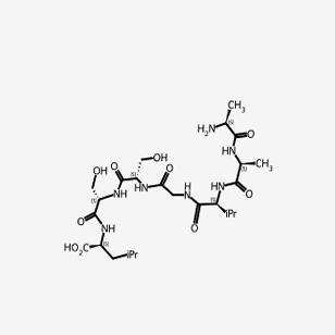 CC(C)C[C@H](NC(=O)[C@H](CO)NC(=O)[C@H](CO)NC(=O)CNC(=O)[C@@H](NC(=O)[C@H](C)NC(=O)[C@H](C)N)C(C)C)C(=O)O